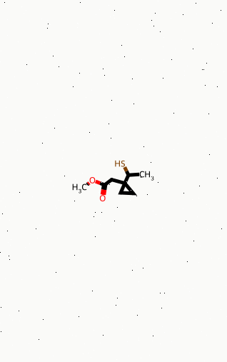 COC(=O)CC1(C(C)S)CC1